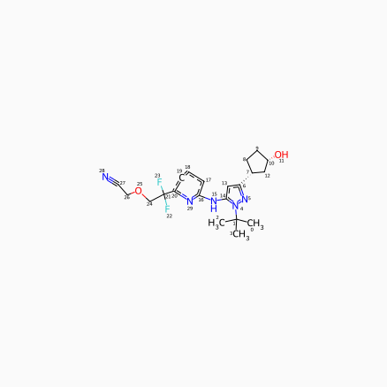 CC(C)(C)n1nc([C@@H]2CC[C@H](O)C2)cc1Nc1cccc(C(F)(F)COCC#N)n1